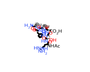 CC[C@H](C)[C@H](NC(=O)[C@H](Cc1ccccc1)NC(=O)[C@@H](NC(=O)[C@H](CC(=O)O)NC(=O)[C@H](C)NC(=O)[C@H](CO)NC(=O)[C@H](CCCNC(=N)N)NC(C)=O)[C@@H](C)CC)C(N)=O